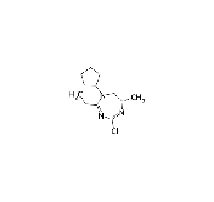 CCC1=NC(Cl)=NC(C)CN1C1CCCC1